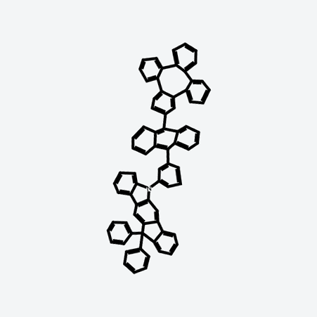 c1ccc(C2(c3ccccc3)c3ccccc3-c3cc4c(cc32)c2ccccc2n4-c2cccc(-c3c4ccccc4c(-c4ccc5c(c4)-c4ccccc4-c4ccccc4-c4ccccc4-5)c4ccccc34)c2)cc1